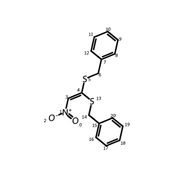 O=[N+]([O-])C=C(SCc1ccccc1)SCc1ccccc1